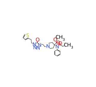 CCC(=O)N(c1ccccc1)C1(C(=O)OC)CCN(CCn2nnn(CCc3cccs3)c2=O)CC1